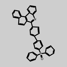 O=P(c1ccccc1)(c1ccccc1)c1ccc(-c2ccc(-c3nc4ccccc4c4c3ccc3ccccc34)cc2)cc1